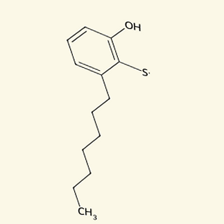 CCCCCCCc1cccc(O)c1[S]